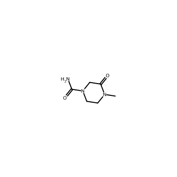 CN1CCN(C(N)=O)CC1=O